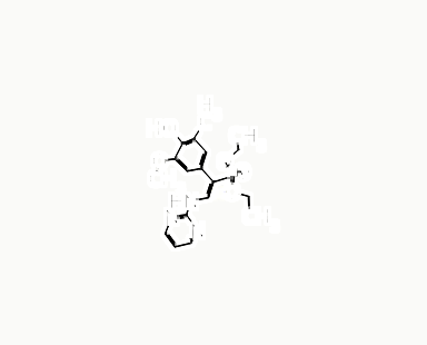 CCOP(=O)(OCC)/C(=C/Nc1ncccn1)c1cc(C)c(O)c(OC)c1